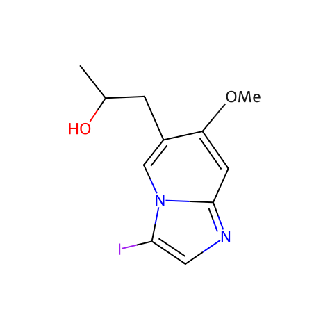 COc1cc2ncc(I)n2cc1CC(C)O